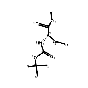 COC(=O)[C@@H](NC(=O)OC(C)(C)C)[Zn][I]